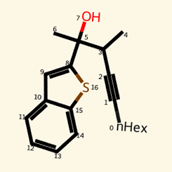 CCCCCCC#CC(C)C(C)(O)c1cc2ccccc2s1